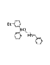 CCc1cccc(B(OCCNCc2ccccc2)c2ccccc2)c1